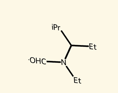 CCC(C(C)C)N([C]=O)CC